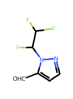 O=Cc1ccnn1C(F)C(F)F